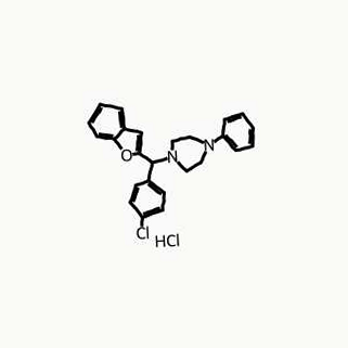 Cl.Clc1ccc(C(c2cc3ccccc3o2)N2CCN(c3ccccc3)CC2)cc1